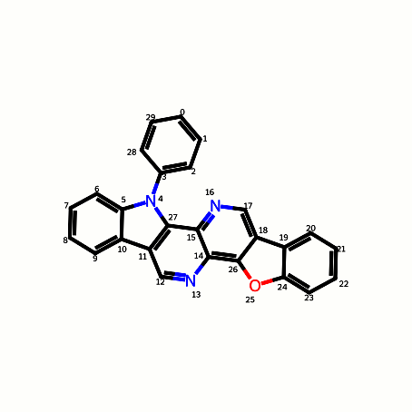 c1ccc(-n2c3ccccc3c3cnc4c(ncc5c6ccccc6oc54)c32)cc1